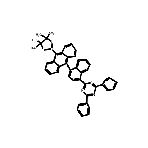 CC1(C)OB(c2c3ccccc3c(-c3ccc(-c4nc(-c5ccccc5)nc(-c5ccccc5)n4)c4ccccc34)c3ccccc23)OC1(C)C